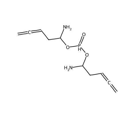 C=C=CCC(N)O[PH](=O)OC(N)CC=C=C